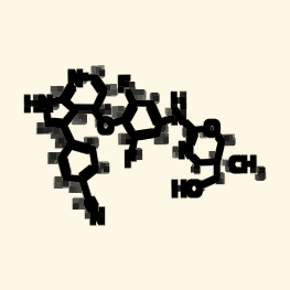 C[C@]1(CO)CN=C(Nc2cc(F)c(Oc3ccnc4[nH]cc(-c5ccc(C#N)cc5)c34)c(F)c2)OC1